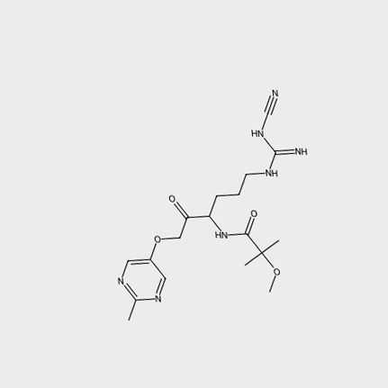 COC(C)(C)C(=O)NC(CCCNC(=N)NC#N)C(=O)COc1cnc(C)nc1